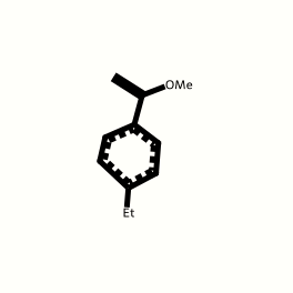 C=C(OC)c1ccc(CC)cc1